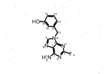 Nc1nc(F)nc2c1ncn2Cc1cccc(O)c1